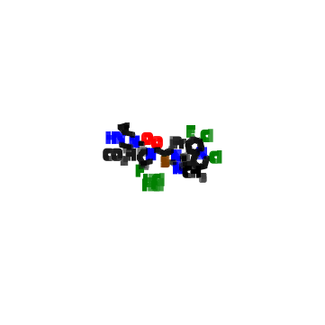 CC(C)C1=C(C(=O)N2C[C@H](F)C[C@@H]2C(=O)N2CC3(CC3)NC[C@@H]2C(=O)O)SC2=N[C@@](C)(c3ccc(Cl)nc3)[C@@H](c3ccc(Cl)c(F)c3)N21.Cl.Cl